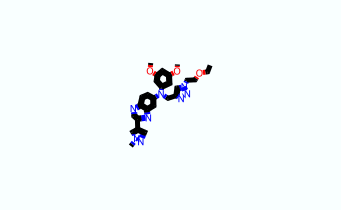 CCOCCn1cc(CN(c2cc(OC)cc(OC)c2)c2ccc3ncc(-c4cnn(C)c4)nc3c2)nn1